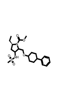 CC[C@@H]1CC(NS(C)(=O)=O)C(COC2CCC(c3ccccc3)CC2)N1C(=O)OC